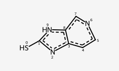 Sc1nc2ccncc2[nH]1